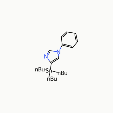 CCC[CH2][Sn]([CH2]CCC)([CH2]CCC)[c]1cn(-c2ccccc2)cn1